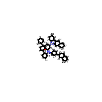 c1ccc(-c2ccc(-c3ccccc3N(c3ccc(-c4ccc5ccccc5c4)cc3)c3cccc(-n4c5ccccc5c5cc6ccccc6cc54)c3)cc2)cc1